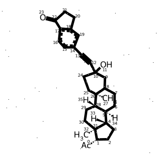 CC(=O)[C@H]1CC[C@H]2[C@@H]3CCC4CC(O)(C#Cc5ccc6c(c5)CCC6=O)CC[C@]4(C)[C@H]3CC[C@]12C